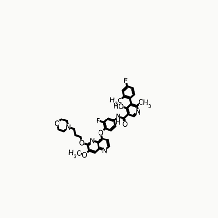 COc1cc2nccc(Oc3ccc(NC(=O)c4cnc(C)c(-c5ccc(F)cc5C)c4O)cc3F)c2nc1OCCCN1CCOCC1